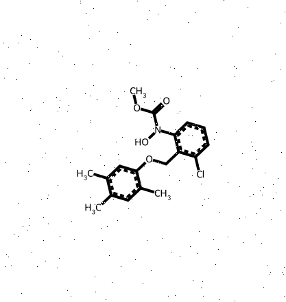 COC(=O)N(O)c1cccc(Cl)c1COc1cc(C)c(C)cc1C